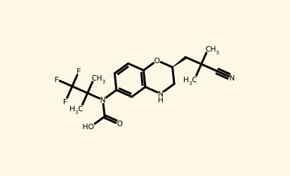 CC(C)(C#N)C[C@H]1CNc2cc(N(C(=O)O)C(C)(C)C(F)(F)F)ccc2O1